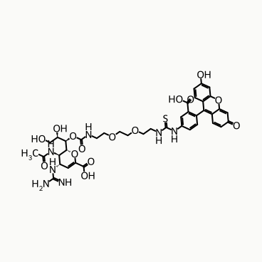 CC(=O)N[C@H]1[C@H]([C@H](OC(=O)NCCOCCOCCNC(=S)Nc2ccc(-c3c4ccc(=O)cc-4oc4cc(O)ccc34)c(C(=O)O)c2)[C@H](O)CO)OC(C(=O)O)=C[C@@H]1NC(=N)N